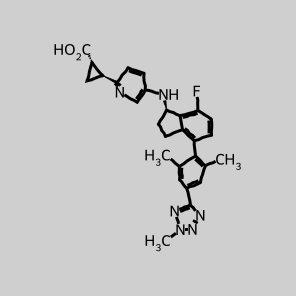 Cc1cc(-c2nnn(C)n2)cc(C)c1-c1ccc(F)c2c1CC[C@H]2Nc1ccc([C@H]2C[C@@H]2C(=O)O)nc1